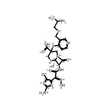 CC(N)CSCc1cnccc1SC1(C(=O)O)CS[C@@H]2[C@H](NC(=O)C(=NO)c3nc(N)sc3Cl)C(=O)N2C1